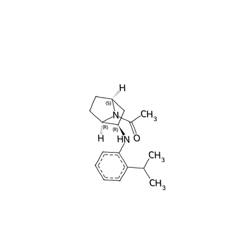 CC(=O)N1[C@H]2CC[C@@H]1[C@H](Nc1ccccc1C(C)C)C2